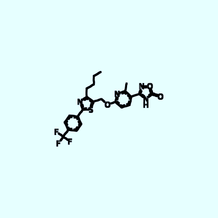 CCCCc1nc(-c2ccc(C(F)(F)F)cc2)sc1COc1ccc(-c2noc(=O)[nH]2)c(C)n1